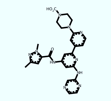 Cc1cc(C(=O)Nc2cc(Nc3cnccn3)nc(-c3ccnc(N4CCN(C(=O)O)CC4)c3)c2)n(C)n1